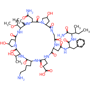 C=C1NC(CC(N)=O)C(=O)N2CC(O)CC2C(=O)NCC(=O)NC(CC(=O)NC(Cc2ccccc2)C(=O)NC(C(N)=O)C(C)CC)C(=O)NC(CCC(=O)O)C(=O)NC(CCCCN)C(=O)NC(C(C)O)C(=O)N2CC(O)CC2C(=O)NC1C(C)OC